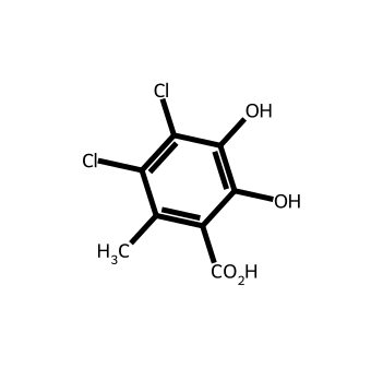 Cc1c(Cl)c(Cl)c(O)c(O)c1C(=O)O